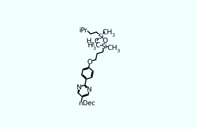 CCCCCCCCCCc1cnc(-c2ccc(OCCC[Si](C)(C)O[Si](C)(C)CCC(C)C)cc2)nc1